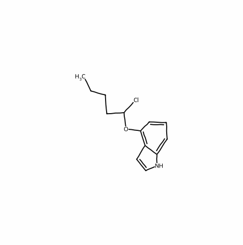 CCCCC(Cl)Oc1cccc2[nH]ccc12